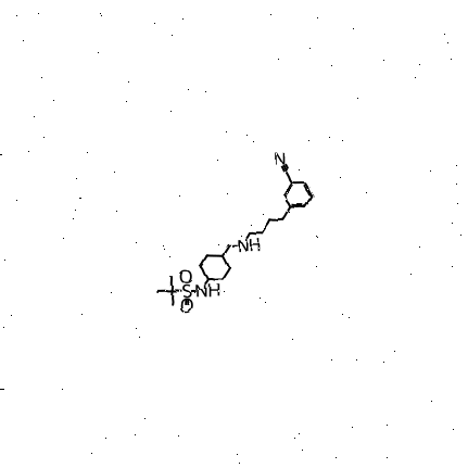 CC(C)(C)S(=O)(=O)NC1CCC(CNCCCCc2cccc(C#N)c2)CC1